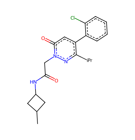 CC1CC(NC(=O)Cn2nc(C(C)C)c(-c3ccccc3Cl)cc2=O)C1